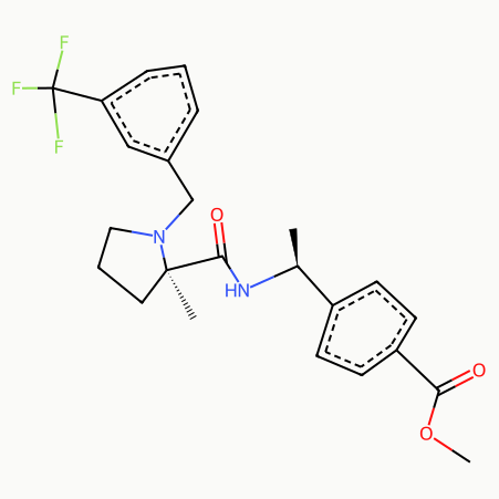 COC(=O)c1ccc([C@H](C)NC(=O)[C@@]2(C)CCCN2Cc2cccc(C(F)(F)F)c2)cc1